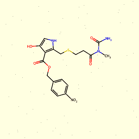 CN(C(N)=O)C(=O)CCSCc1[nH]cc(O)c1C(=O)OCc1ccc([N+](=O)[O-])cc1